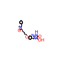 CN(Cc1ccccc1)C(=O)CCCCCOc1ccc2c(c1)N=C1NC(=O)C(CO)N1C2